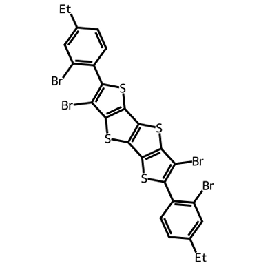 CCc1ccc(-c2sc3c(sc4c5sc(-c6ccc(CC)cc6Br)c(Br)c5sc34)c2Br)c(Br)c1